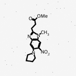 COC(=O)CCc1nc2cc(N3CCCC3)c([N+](=O)[O-])cc2n1C